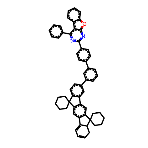 C1=CCC2C(=C1)c1cc3c(cc1C21CCCCC1)-c1cc(-c2cccc(-c4ccc(-c5nc(-c6ccccc6)c6c(n5)oc5ccccc56)cc4)c2)ccc1C31CCCCC1